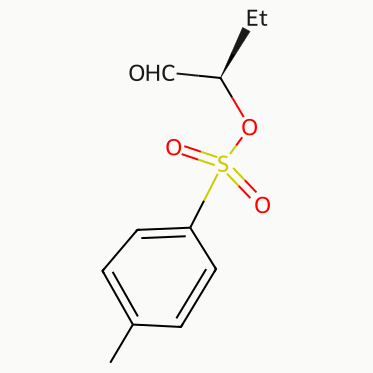 CC[C@H](C=O)OS(=O)(=O)c1ccc(C)cc1